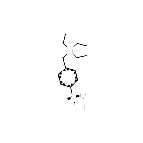 CC[Si](CC)(CC)Cc1ccc(S(=O)(=O)O)cc1